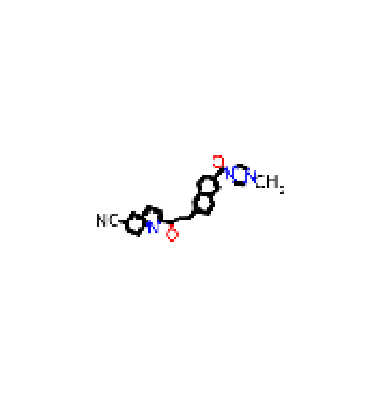 CN1CCN(C(=O)c2ccc3cc(CCC(=O)c4ccc5cc(C#N)ccc5n4)ccc3c2)CC1